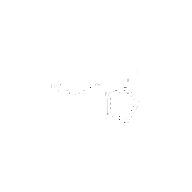 [CH2]CCn1ccnc1C